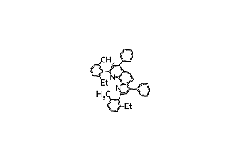 CCc1cccc(C)c1-c1cc(-c2ccccc2)c2ccc3c(-c4ccccc4)cc(-c4c(C)cccc4CC)nc3c2n1